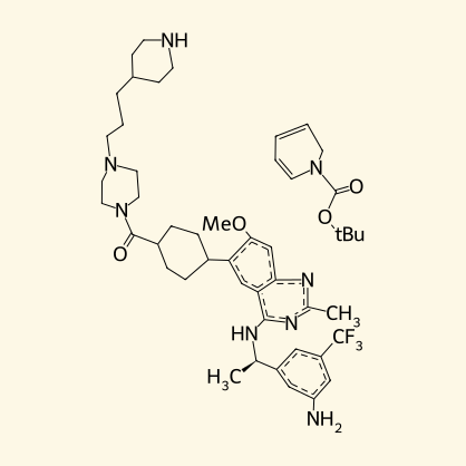 CC(C)(C)OC(=O)N1C=CC=CC1.COc1cc2nc(C)nc(N[C@H](C)c3cc(N)cc(C(F)(F)F)c3)c2cc1C1CCC(C(=O)N2CCN(CCCC3CCNCC3)CC2)CC1